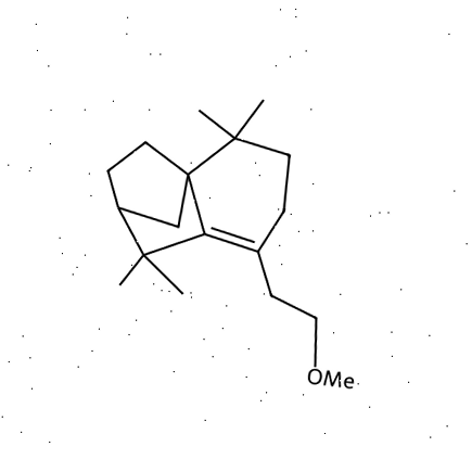 COCCC1=C2C(C)(C)C3CCC2(C3)C(C)(C)CC1